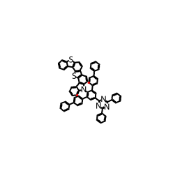 c1ccc(-c2ccc(-c3cc(-c4nc(-c5ccccc5)nc(-c5ccccc5)n4)cc(-c4ccc(-c5ccccc5)cc4)c3-n3c4ccccc4c4c5sc6c(ccc7sc8ccccc8c76)c5ccc43)cc2)cc1